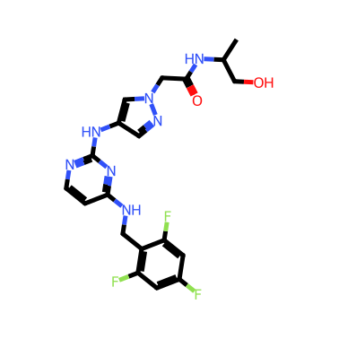 CC(CO)NC(=O)Cn1cc(Nc2nccc(NCc3c(F)cc(F)cc3F)n2)cn1